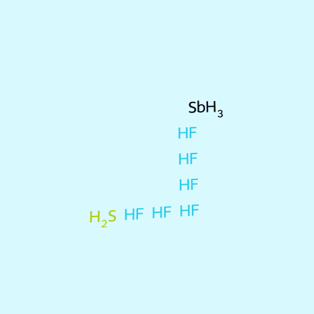 F.F.F.F.F.F.S.[SbH3]